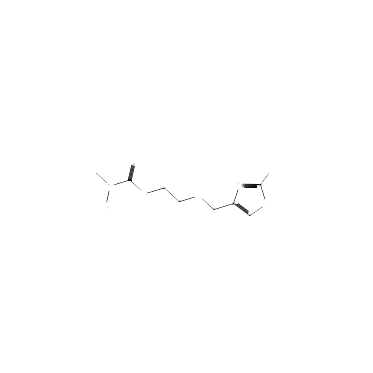 CN(S)C(=O)NCCSCc1csc(Cl)n1